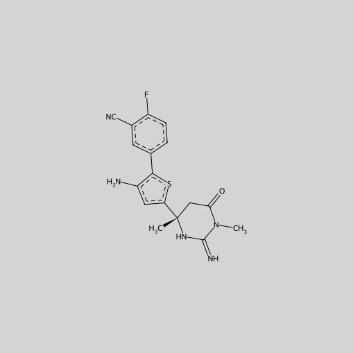 CN1C(=N)N[C@](C)(c2cc(N)c(-c3ccc(F)c(C#N)c3)s2)CC1=O